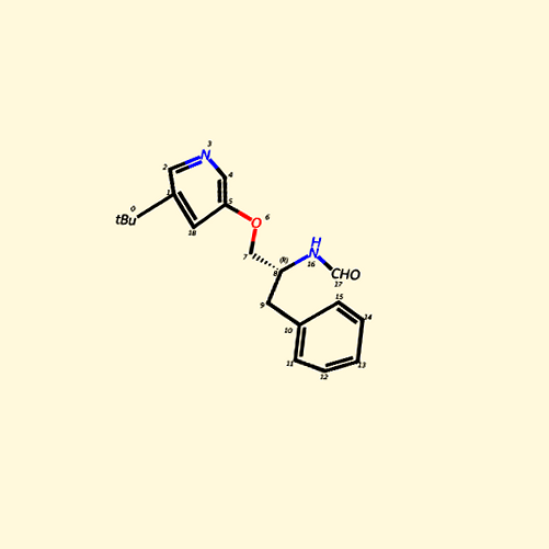 CC(C)(C)c1cncc(OC[C@@H](Cc2ccccc2)NC=O)c1